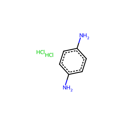 Cl.Cl.Nc1ccc(N)cc1